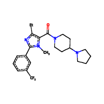 CCc1nc(-c2cccc(C(F)(F)F)c2)n(C)c1C(=O)N1CCC(N2CCCC2)CC1